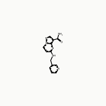 NC(=O)c1cnn2ccc(NCc3cccnc3)nc12